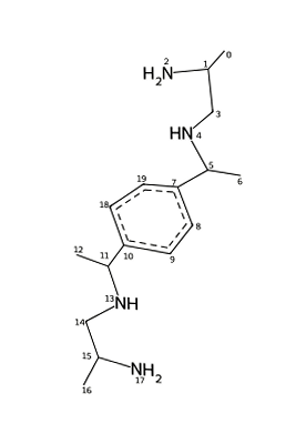 CC(N)CNC(C)c1ccc(C(C)NCC(C)N)cc1